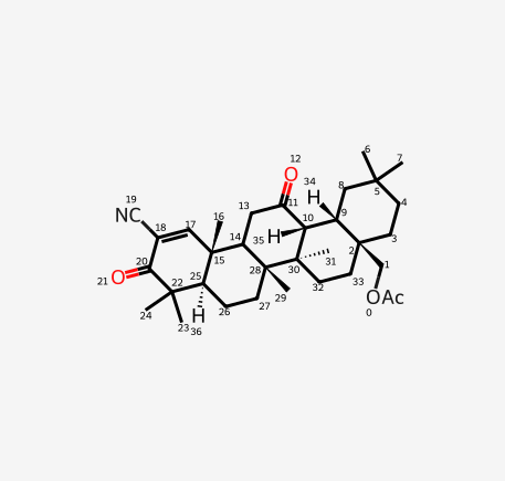 CC(=O)OC[C@]12CCC(C)(C)C[C@H]1[C@H]1C(=O)CC3[C@@]4(C)C=C(C#N)C(=O)C(C)(C)[C@@H]4CC[C@@]3(C)[C@]1(C)CC2